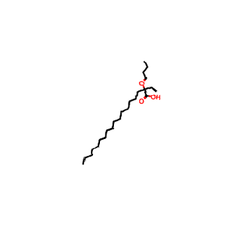 CCCCCCCCCCCCCCCCC(CC)(OCCCC)C(=O)O